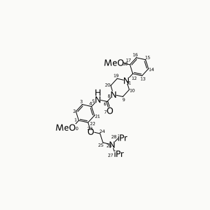 COc1ccc(NC(=O)N2CCN(c3ccccc3OC)CC2)cc1OCCN(C(C)C)C(C)C